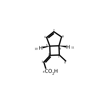 CC1C(=CC(=O)O)[C@@H]2C=CC[C@H]12